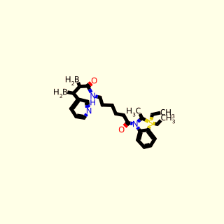 BC(C(=O)NCCCCCC(=O)N1c2ccccc2S(CC)(CC)C1C)C(B)c1cccnc1